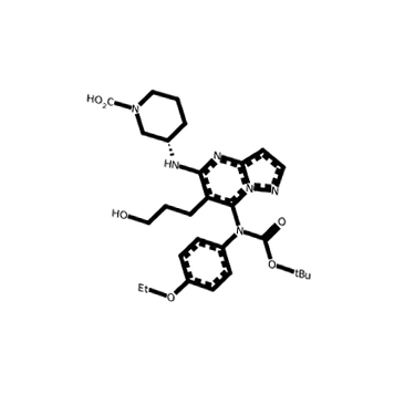 CCOc1ccc(N(C(=O)OC(C)(C)C)c2c(CCCO)c(N[C@H]3CCCN(C(=O)O)C3)nc3ccnn23)cc1